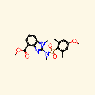 COC(=O)c1cccc2c1nc(N(C)S(=O)(=O)c1c(C)cc(OC)cc1C)n2C